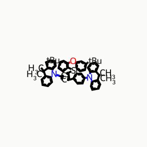 CC(C)(C)c1ccc2c(c1)Oc1cc(C(C)(C)C)ccc1[Si]21c2cc(N3c4ccccc4C(C)(C)c4ccccc43)ccc2-c2ccc(N3c4ccccc4C(C)(C)c4ccccc43)cc21